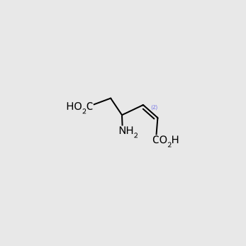 NC(/C=C\C(=O)O)CC(=O)O